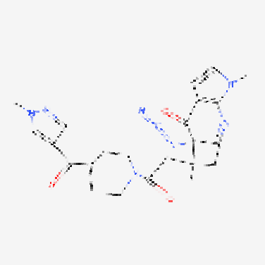 Cn1cc(C(=O)C2CCN(C(=O)CC3(C)CC4=Nc5c(ccn5C)C(=O)C43N=[N+]=[N-])CC2)cn1